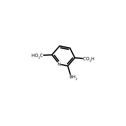 Bc1nc(C(=O)O)ccc1C(=O)O